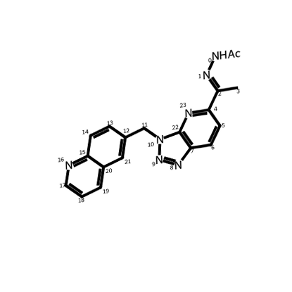 CC(=O)NN=C(C)c1ccc2nnn(Cc3ccc4ncccc4c3)c2n1